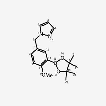 COc1ccc(Cn2cccn2)cc1B1OC(C)(C)C(C)(C)O1